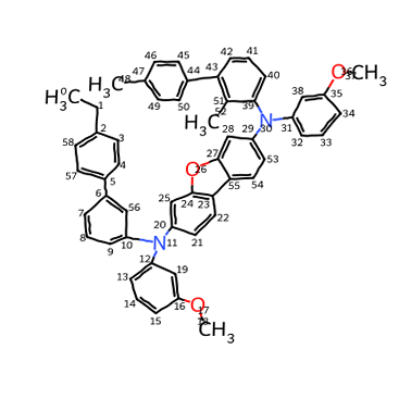 CCc1ccc(-c2cccc(N(c3cccc(OC)c3)c3ccc4c(c3)oc3cc(N(c5cccc(OC)c5)c5cccc(-c6ccc(C)cc6)c5C)ccc34)c2)cc1